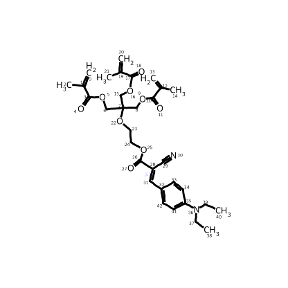 C=C(C)C(=O)OCC(COC(=O)C(=C)C)(COC(=O)C(=C)C)OCCOC(=O)/C(C#N)=C/c1ccc(N(CC)CC)cc1